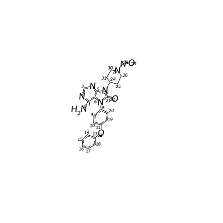 Nc1ncnc2c1n(-c1ccc(Oc3ccccc3)cc1)c(=O)n2C1CCN(N=O)CC1